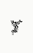 C=CC(=O)N1CCN(c2nc(O[C@@H]3CN(C)C[C@H]3C3CC3)nc3c(Oc4c(Cl)c(F)cc5[nH]ncc45)nccc23)CC1